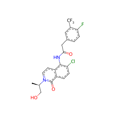 C[C@H](CO)n1ccc2c(NC(=O)Cc3ccc(F)c(C(F)(F)F)c3)c(Cl)ccc2c1=O